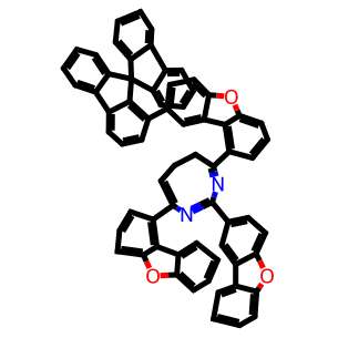 C1=C(c2cccc3oc4ccccc4c23)/N=C(c2ccc3oc4ccccc4c3c2)\N=C(\c2cccc3oc4ccc(-c5cccc6c5C5(c7ccccc7-c7ccccc75)c5ccccc5-6)cc4c23)CC\1